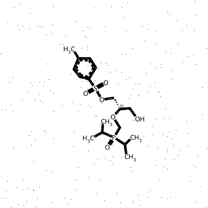 Cc1ccc(S(=O)(=O)OC[C@H](CO)OCP(=O)(C(C)C)C(C)C)cc1